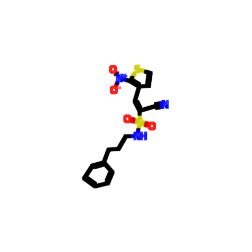 N#CC(=Cc1ccsc1[N+](=O)[O-])S(=O)(=O)NCCCc1ccccc1